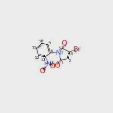 O=C1C=C(Br)C(=O)N1c1ccccc1[N+](=O)[O-]